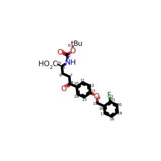 CC(C)(C)OC(=O)N[C@@H](CCC(=O)c1ccc(OCc2ccccc2F)cc1)C(=O)O